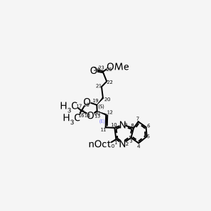 CCCCCCCCc1nc2ccccc2nc1/C=C/[C@H]1OC(C)(C)O[C@H]1CCCC(=O)OC